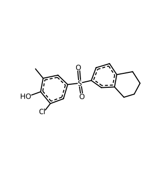 Cc1cc(S(=O)(=O)c2ccc3c(c2)CCCC3)cc(Cl)c1O